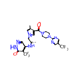 Cc1cn(C[C@H](C)Nc2cn[nH]c(=O)c2C(F)(F)F)cc1C(=O)N1CCN(c2ncc(C(F)(F)F)cn2)CC1